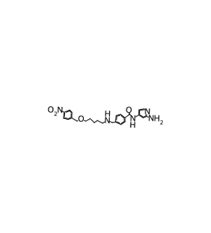 Nc1cc(NC(=O)c2ccc(CNCCCCCOCc3ccc([N+](=O)[O-])cc3)cc2)ccn1